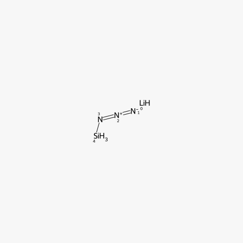 [LiH].[N-]=[N+]=N[SiH3]